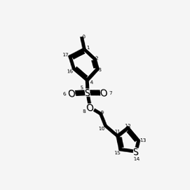 Cc1ccc(S(=O)(=O)OCCc2ccsc2)cc1